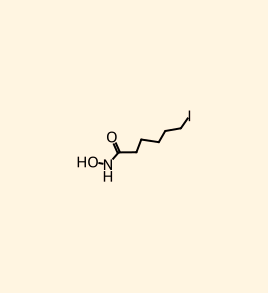 O=C(CCCCCI)NO